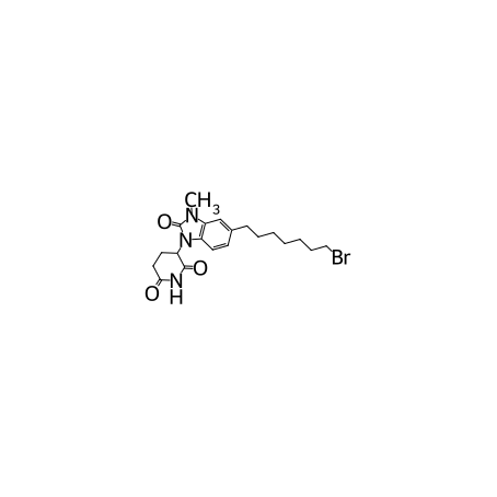 Cn1c(=O)n(C2CCC(=O)NC2=O)c2ccc(CCCCCCCBr)cc21